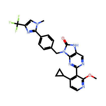 COc1nccc(C2CC2)c1-c1ncc2[nH]c(=O)n(Cc3ccc(-c4nc(C(F)(F)F)cn4C)cc3)c2n1